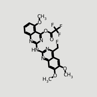 COc1cc2nc(Nc3nc(OC(=O)C(F)(F)F)c4c(OC)cccc4n3)nc(CF)c2cc1OC